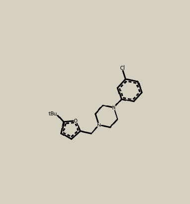 CC(C)(C)c1ccc(CN2CCN(c3cccc(Cl)c3)CC2)o1